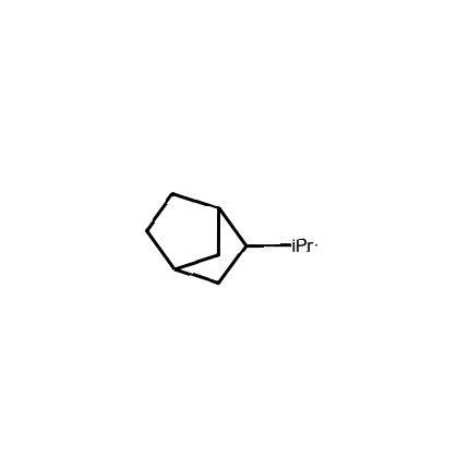 C[C](C)C1CC2CCC1C2